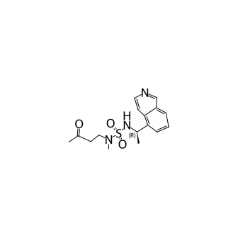 CC(=O)CCN(C)S(=O)(=O)N[C@H](C)c1cccc2cnccc12